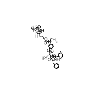 CC(C)C[C@@H](NC(=O)[C@@H](Cc1ccccc1)NC(=O)c1cnccn1)B1Oc2ccc(N(C)C(=O)OCCCC(=O)NC(P=O)P(=O)(O)O)cc2O1